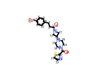 O=C(CCc1ccc(Br)cc1)N1CC(N2CCN(C(=O)c3nccs3)CC2)C1